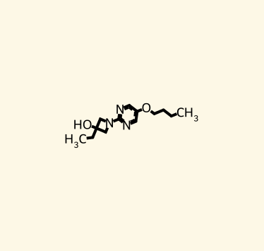 CCCCOc1cnc(N2CC(O)(CC)C2)nc1